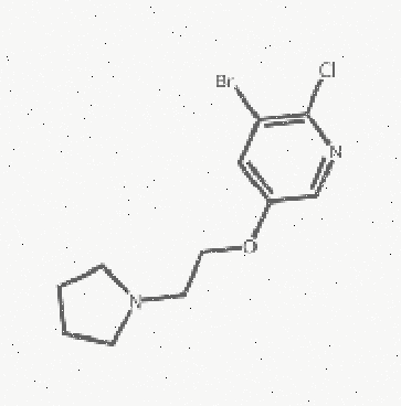 Clc1ncc(OCCN2CCCC2)cc1Br